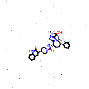 CC(C)(O)c1nnc2n1C[C@H](c1cccc(F)c1F)CC[C@H]2NC(=O)N1CCC(c2cc3ccccc3[nH]c2=O)CC1